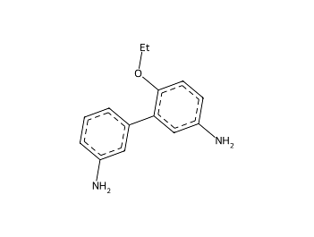 CCOc1ccc(N)cc1-c1cccc(N)c1